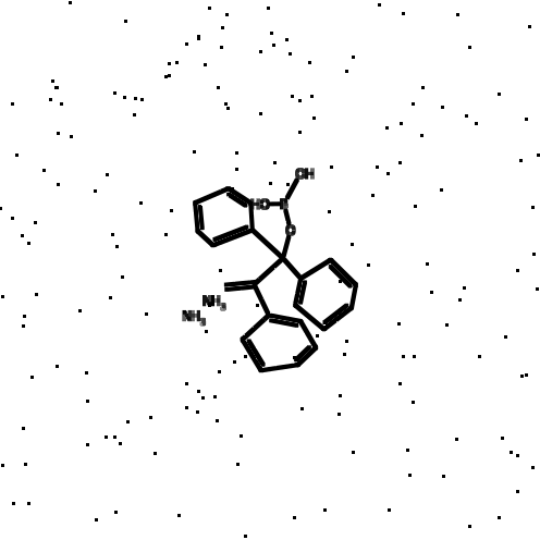 C=C(c1ccccc1)C(OB(O)O)(c1ccccc1)c1ccccc1.N.N